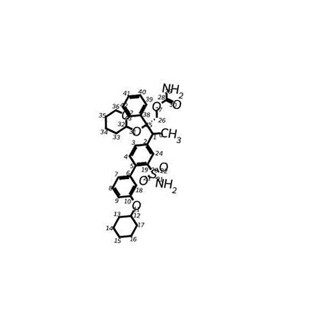 CC(c1ccc(-c2cccc(OC3CCCCC3)c2)c(S(N)(=O)=O)c1)[C@@](COC(N)=O)(OC1CCCCO1)c1ccccc1